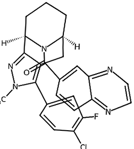 Cn1nc2c(c1-c1ccc(Cl)c(F)c1)C[C@@H]1CCC[C@H]2N1C(=O)c1ccc2nccnc2c1